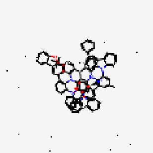 Cc1cc(-c2ccc3c(c2)oc2ccccc23)c(N2c3ccc(-c4ccccc4)cc3B3c4ccc(C(C)(C)C)cc4N(c4c(-c5ccc6oc7ccccc7c6c5)cccc4-n4c5ccccc5c5cc(C#N)ccc54)c4cc(-n5c6ccccc6c6ccccc65)cc2c43)c(-n2c3ccccc3c3ccccc32)c1